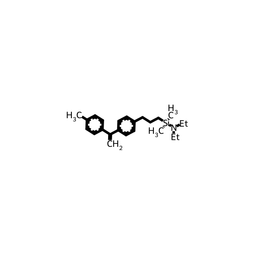 C=C(c1ccc(C)cc1)c1ccc(CCC[Si](C)(C)N(CC)CC)cc1